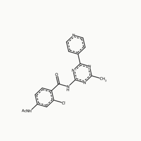 CC(=O)Nc1ccc(C(=O)Nc2nc(C)nc(-c3ccncc3)n2)c(Cl)c1